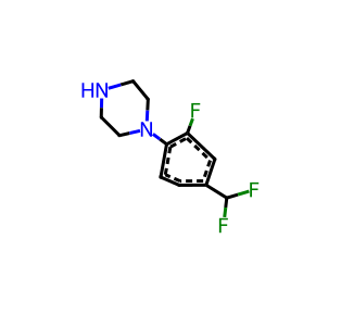 Fc1cc(C(F)F)ccc1N1CCNCC1